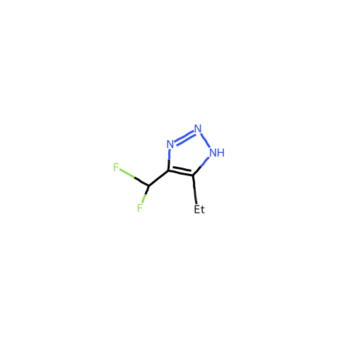 CCc1[nH]nnc1C(F)F